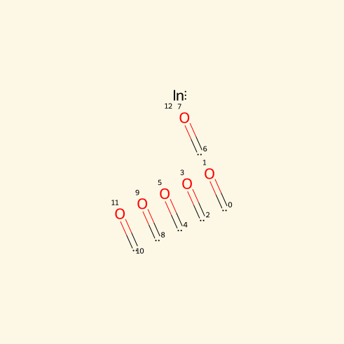 [C]=O.[C]=O.[C]=O.[C]=O.[C]=O.[C]=O.[In]